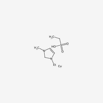 CCN1C=CN(C)C1.CCS(=O)(=O)O.[Cu]